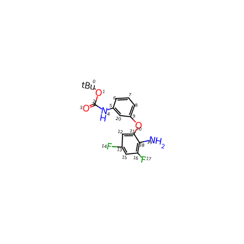 CC(C)(C)OC(=O)Nc1cccc(Oc2cc(F)cc(F)c2N)c1